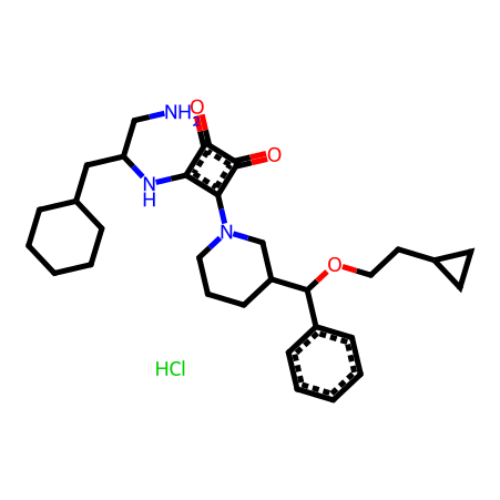 Cl.NCC(CC1CCCCC1)Nc1c(N2CCCC(C(OCCC3CC3)c3ccccc3)C2)c(=O)c1=O